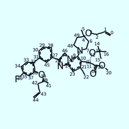 C=CCOC1(C)CCN(c2c([C@H](OC(C)(C)C)C(=O)OC)c(C)cc3nc(-c4cccc(-c5ccc(F)cc5O[C@@H](C)CC=C)c4)cn23)CC1